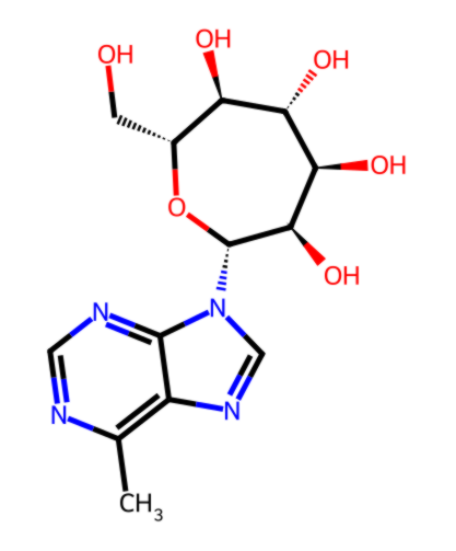 Cc1ncnc2c1ncn2[C@@H]1O[C@H](CO)[C@@H](O)[C@H](O)[C@@H](O)[C@H]1O